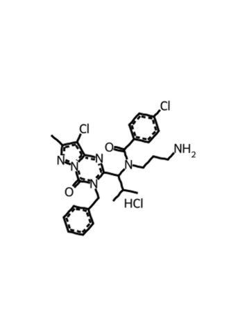 Cc1nn2c(=O)n(Cc3ccccc3)c(C(C(C)C)N(CCCN)C(=O)c3ccc(Cl)cc3)nc2c1Cl.Cl